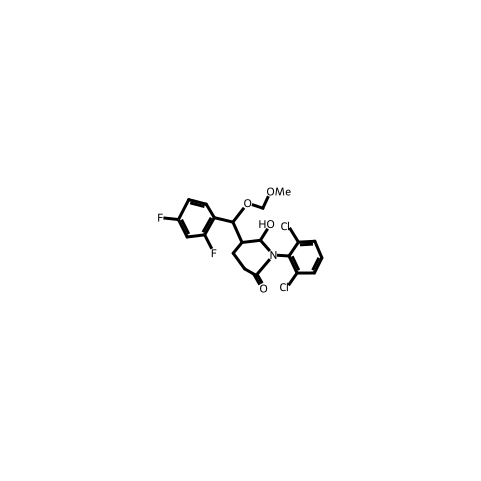 COCOC(c1ccc(F)cc1F)C1CCC(=O)N(c2c(Cl)cccc2Cl)C1O